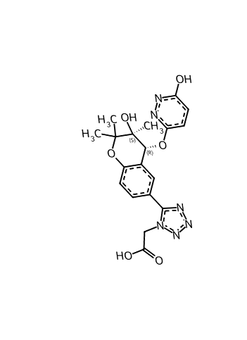 CC1(C)Oc2ccc(-c3nnnn3CC(=O)O)cc2[C@@H](Oc2ccc(O)nn2)[C@]1(C)O